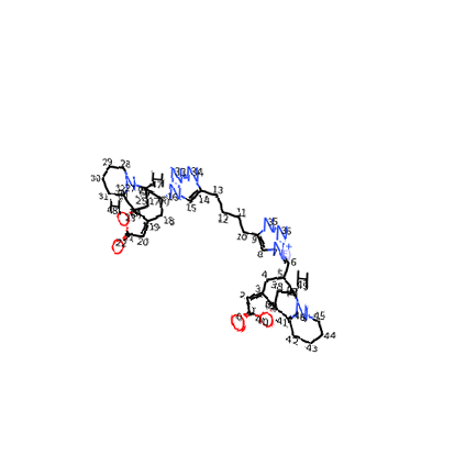 O=C1C=C2CC(/C=[N+]3\C=C(CCCCc4cn([C@@H]5CC6=CC(=O)O[C@@]67C[C@@H]5N5CCCC[C@@H]57)nn4)N=N3)[C@@H]3C[C@@]2(O1)C1CCCCN13